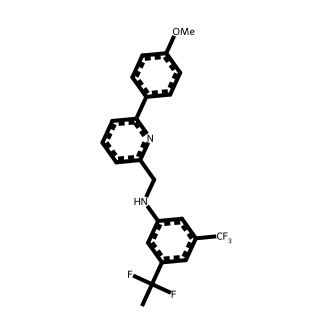 COc1ccc(-c2cccc(CNc3cc(C(C)(F)F)cc(C(F)(F)F)c3)n2)cc1